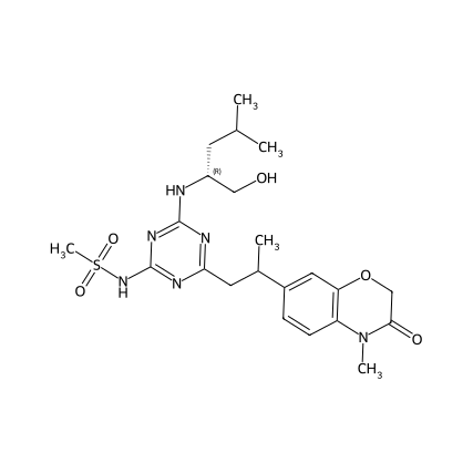 CC(C)C[C@H](CO)Nc1nc(CC(C)c2ccc3c(c2)OCC(=O)N3C)nc(NS(C)(=O)=O)n1